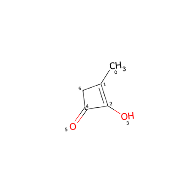 CC1=C(O)C(=O)C1